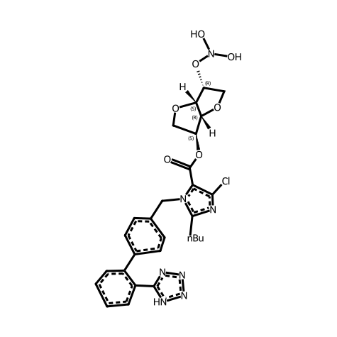 CCCCc1nc(Cl)c(C(=O)O[C@H]2CO[C@H]3[C@@H]2OC[C@H]3ON(O)O)n1Cc1ccc(-c2ccccc2-c2nnn[nH]2)cc1